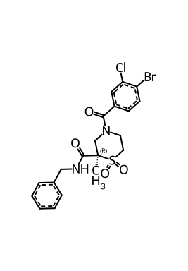 C[C@]1(C(=O)NCc2ccccc2)CN(C(=O)c2ccc(Br)c(Cl)c2)CCS1(=O)=O